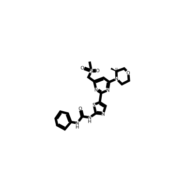 C[C@H]1COCCN1c1cc(CS(C)(=O)=O)nc(-c2cnc(NC(=O)Nc3ccccc3)s2)n1